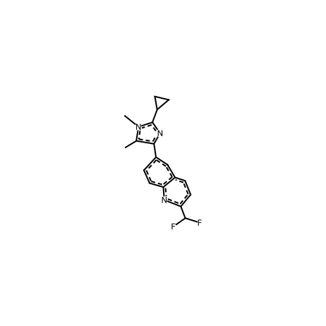 Cc1c(-c2ccc3nc(C(F)F)ccc3c2)nc(C2CC2)n1C